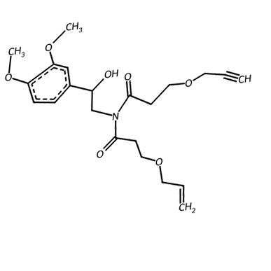 C#CCOCCC(=O)N(CC(O)c1ccc(OC)c(OC)c1)C(=O)CCOCC=C